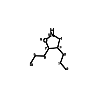 CCCC1CNOC1CCC